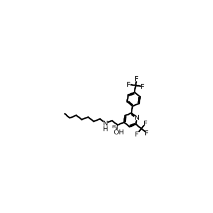 CCCCCCCNC[C@H](O)c1cc(-c2ccc(C(F)(F)F)cc2)nc(C(F)(F)F)c1